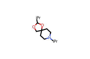 CC(C)C1OCC2(CCN(C(C)C)CC2)O1